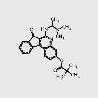 CC(Nc1nc2cc(OC(=O)C(C)(C)C)ccc2c2c1C(=O)c1ccccc1-2)N(C)C